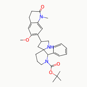 COc1cc2c(cc1C1CNC3(CCCN(C(=O)OC(C)(C)C)C3c3ccccc3)C1)N(C)C(=O)CC2